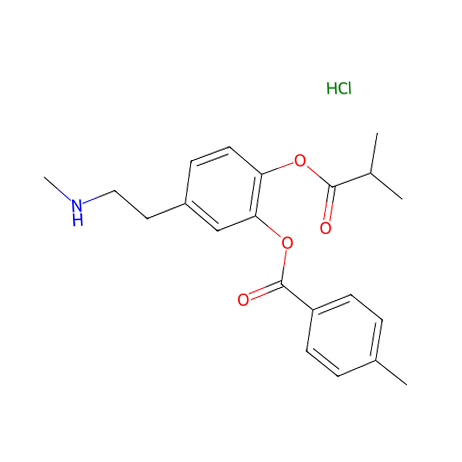 CNCCc1ccc(OC(=O)C(C)C)c(OC(=O)c2ccc(C)cc2)c1.Cl